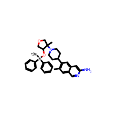 Cc1cc2cnc(N)cc2cc1C1CCN(C2(C)COCC2O[Si](c2ccccc2)(c2ccccc2)C(C)(C)C)CC1